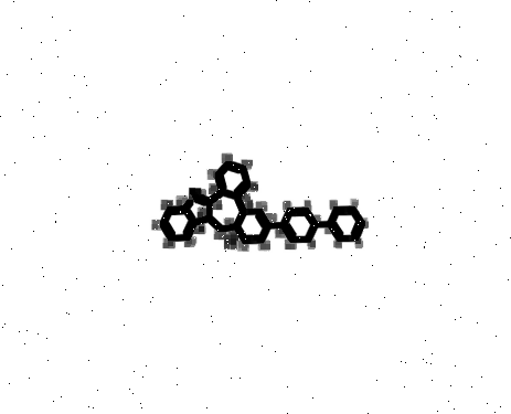 C1=CC(c2ccccc2)CC=C1C1=CC2c3ccccc3C3=Nc4ccccc4C3C[C@@H]2C=C1